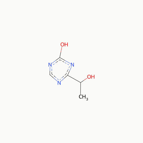 CC(O)c1ncnc(O)n1